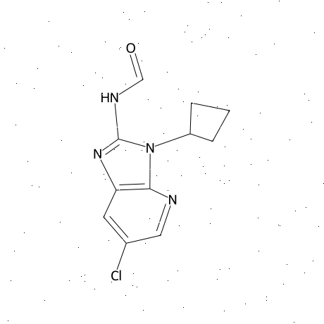 O=CNc1nc2cc(Cl)cnc2n1C1CCC1